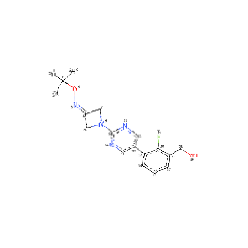 [2H]C([2H])([2H])ON=C1CN(c2ncc(-c3cccc(CO)c3F)cn2)C1